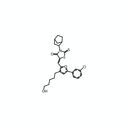 O=C1/C(=C/c2oc(-c3cccc(Cl)c3)cc2CCCCCO)SC(=S)N1C1CC2CCC1C2